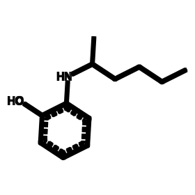 CCCCC(C)Nc1ccccc1O